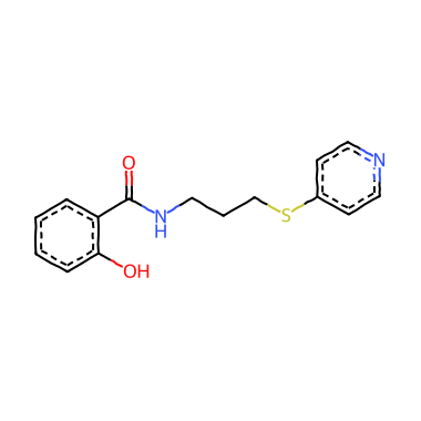 O=C(NCCCSc1ccncc1)c1ccccc1O